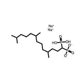 CC(C)CCCC(C)CCCC(C)CCC(P(=O)([O-])[O-])P(=O)(O)O.[Na+].[Na+]